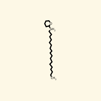 CCCCCCCCCCCCCCCCCC[SiH2]C1CCCCO1